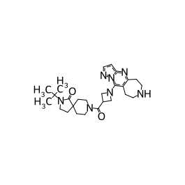 CC(C)(C)N1CCC2(CCN(C(=O)C3CN(c4c5c(nc6ccnn46)CCNCC5)C3)CC2)C1=O